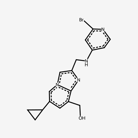 OCc1cc(C2CC2)cn2cc(CNc3ccnc(Br)c3)nc12